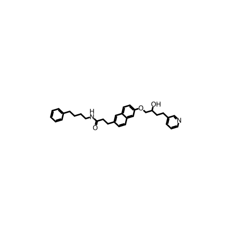 O=C(CCc1ccc2cc(OCC(O)CCc3cccnc3)ccc2c1)NCCCCc1ccccc1